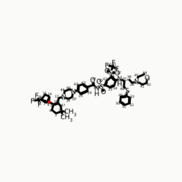 CC1(C)CCC(C2CC3(C(F)(F)F)CC2C3)=C(CN2CCN(c3ccc(C(=O)NS(=O)(=O)c4ccc(N[C@H](CCN5CCOCC5)CSc5ccccc5)c(S(=O)(=O)C(F)(F)F)c4)cc3)CC2)C1